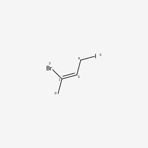 CC(Br)=CCI